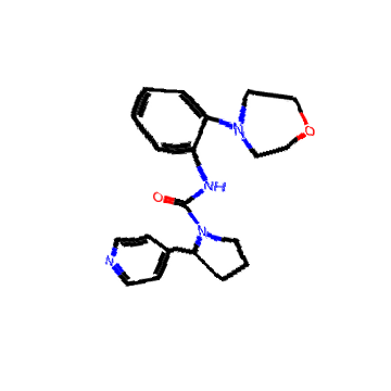 O=C(Nc1ccccc1N1CCOCC1)N1CCCC1c1ccncc1